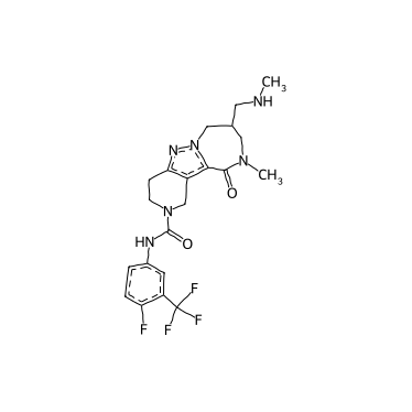 CNCC1CN(C)C(=O)c2c3c(nn2C1)CCN(C(=O)Nc1ccc(F)c(C(F)(F)F)c1)C3